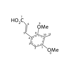 COc1ccc(C=CC(=O)O)c(OC)c1C